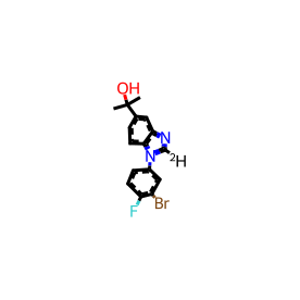 [2H]c1nc2cc(C(C)(C)O)ccc2n1-c1ccc(F)c(Br)c1